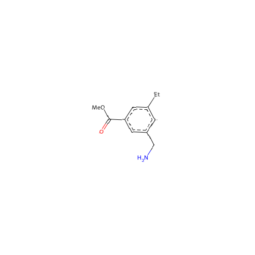 CCc1[c]c(CN)cc(C(=O)OC)c1